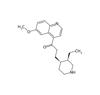 CC[C@H]1CNCC[C@H]1CCC(=O)c1ccnc2ccc(OC)cc12